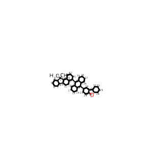 CC1(C)c2ccccc2-c2ccc3c(-c4c5ccccc5c(-c5ccc6oc7ccccc7c6c5)c5ccccc45)cccc3c21